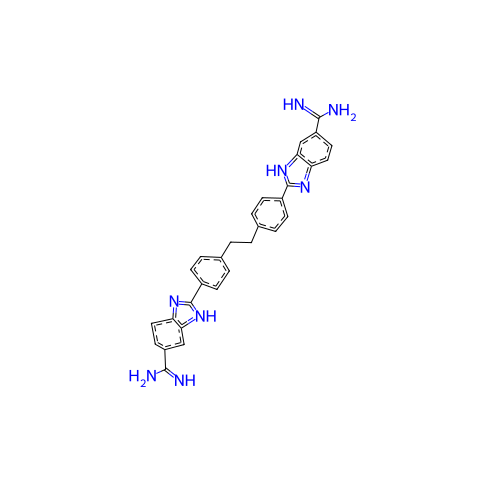 N=C(N)c1ccc2nc(-c3ccc(CCc4ccc(-c5nc6ccc(C(=N)N)cc6[nH]5)cc4)cc3)[nH]c2c1